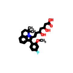 COc1cc(F)ccc1-c1c(/C=C/C(O)CC(O)CC(=O)O)n2c3c(cccc13)CCC2(C)C